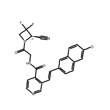 N#C[C@H]1N(C(=O)CNC(=O)c2ccncc2/C=C/c2ccc3cc(Cl)ccc3c2)CC1(F)F